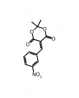 CC1(C)OC(=O)C(=Cc2cccc([N+](=O)[O-])c2)C(=O)O1